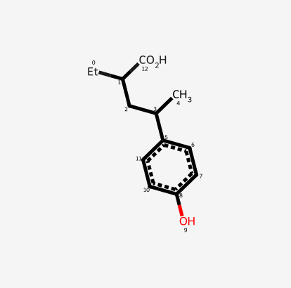 CCC(CC(C)c1ccc(O)cc1)C(=O)O